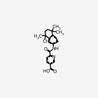 CC1(C)CCC(C)(C)c2cc(NC(=O)c3ccc(C(=O)O)cn3)ccc21